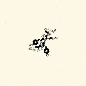 CSCC[C@H](NC(=O)[C@H](Cc1ccc(O)cc1)NC(=O)[C@H](Cc1ccc(O)cc1)NC(=O)[C@@H](N)CC(=O)O)C(=O)N[C@@H](CO)C(=O)O